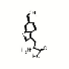 CC=c1ccc2c(c1)N=CC=2C[C@H](N)C(=O)O